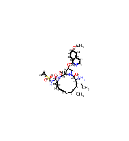 CC[C@@H]1C[C@H](C)CC/C=C\[C@@H]2C[C@@]2(C(=O)NS(=O)(=O)C2CC2)NC(=O)[C@@H]2C[C@@H](Oc3nccc4cc(OC)ccc34)CN2C(=O)[C@H]1N